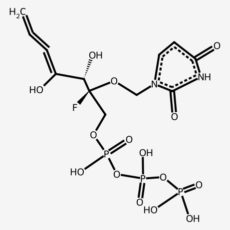 C=C=C=C(O)[C@H](O)[C@@](F)(COP(=O)(O)OP(=O)(O)OP(=O)(O)O)OCn1ccc(=O)[nH]c1=O